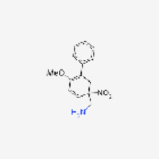 COC1=C(c2ccccc2)CC(CN)([N+](=O)[O-])C=C1